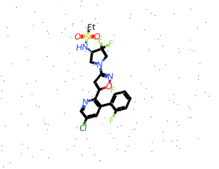 CCS(=O)(=O)N[C@@H]1CN(C2=NOC(c3ncc(Cl)cc3-c3c(F)cccc3F)C2)CC1(F)F